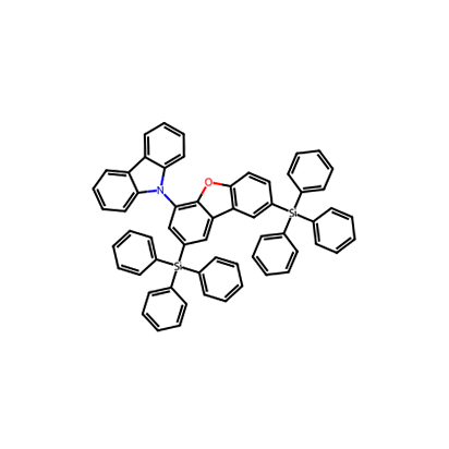 c1ccc([Si](c2ccccc2)(c2ccccc2)c2ccc3oc4c(-n5c6ccccc6c6ccccc65)cc([Si](c5ccccc5)(c5ccccc5)c5ccccc5)cc4c3c2)cc1